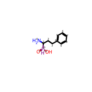 NC(CCc1ccccc1)[PH](=O)O